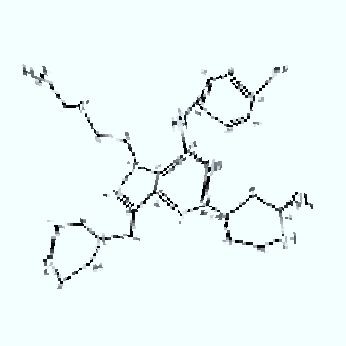 CCOCCn1nc(CN2CCOCC2)c2nc(N3CCN[C@H](C)C3)nc(Nc3ccc(F)cc3)c21